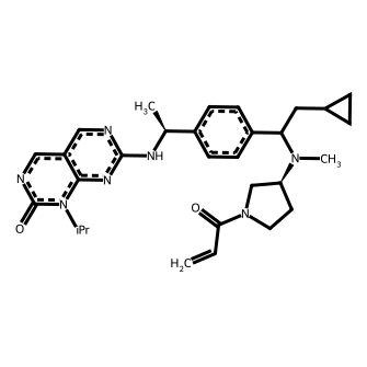 C=CC(=O)N1CC[C@H](N(C)C(CC2CC2)c2ccc([C@H](C)Nc3ncc4cnc(=O)n(C(C)C)c4n3)cc2)C1